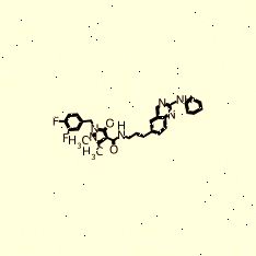 Cc1c(C(=O)NCC=Cc2ccc3nc(Nc4ccccc4)ncc3c2)c(=O)n(Cc2ccc(F)c(F)c2)n1C